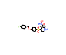 CC1(C)NCCC(S(=O)(=O)c2ccc(OCc3ccc(F)cc3)cc2)C1(C)C(=O)NO